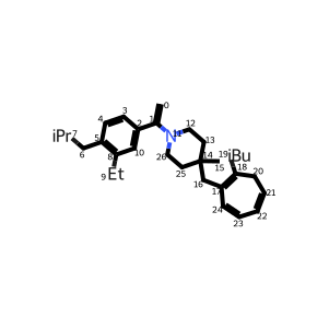 C=C(c1ccc(CC(C)C)c(CC)c1)N1CCC(C)(CC2=C(C(C)CC)CC=CC=C2)CC1